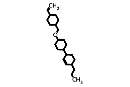 C=CC1CCC(COC2CCC(C3C=CC(CCC)CC3)CC2)CC1